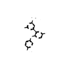 COc1ccc(Nc2ncc(C(C)=O)nc2-c2cc([S+](C)[O-])nc(C)n2)cn1